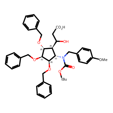 COc1ccc(CN(C(=O)OC(C)(C)C)[C@@H]2[C@@H](OCc3ccccc3)[C@@H](OCc3ccccc3)[C@H](OCc3ccccc3)[C@H]2C(O)CC(=O)O)cc1